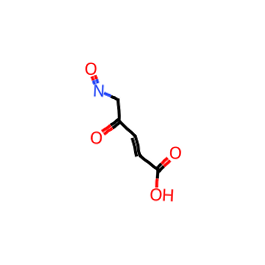 O=NCC(=O)/C=C/C(=O)O